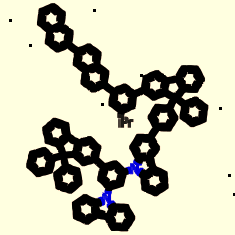 CC(C)c1cc(-c2ccc3c(c2)C(c2ccccc2)(c2ccc(-c4ccc5c(c4)c4ccccc4n5-c4cc(-c5ccc6c(c5)C(c5ccccc5)(c5ccccc5)c5ccccc5-6)cc(-n5c6ccccc6c6ccccc65)c4)cc2)c2ccccc2-3)cc(-c2ccc3cc(-c4ccc5ccccc5c4)ccc3c2)c1